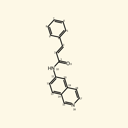 O=C(/C=C/c1ccccc1)Nc1ccc2cnccc2c1